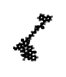 COc1ccc2c(C(=O)NCCOCCOCCNC(=O)OCC3c4ccccc4-c4ccccc43)c(C(=O)N3CCN(C(=O)[C@@H](NC(=O)[C@H](C)N(C)C(=O)O)C4CCCCC4)CC3)n(C)c2c1